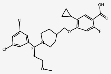 COCC[C@@H](c1cc(Cl)cc(Cl)c1)N1CCC(COc2cc(F)c(C(=O)O)cc2C2CC2)CC1